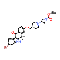 CC(C)(C)OC(=O)N1CC(N2CCC(COc3ccc4c(c3)C(C)(C)c3[nH]c5cc(Br)ccc5c3C4=O)CC2)C1